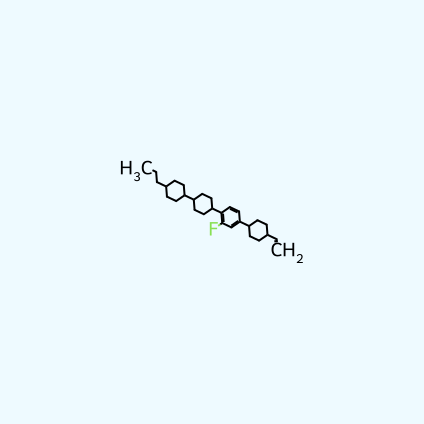 C=CC1CCC(c2ccc(C3CCC(C4CCC(CCC)CC4)CC3)c(F)c2)CC1